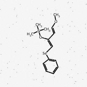 COC=CC(=C[Se]c1ccccc1)O[Si](C)(C)C